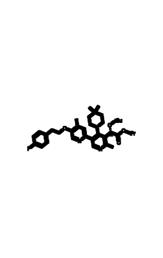 Cc1cc(-c2cnc(C)c([C@H](OC(C)(C)C)C(=O)OC(C)C)c2N2CCC(C)(C)CC2)ncc1OCCc1ccc(F)cc1